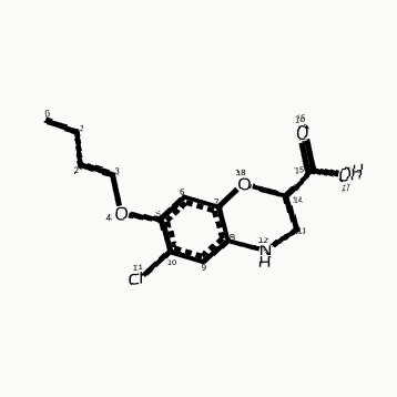 CCCCOc1cc2c(cc1Cl)NCC(C(=O)O)O2